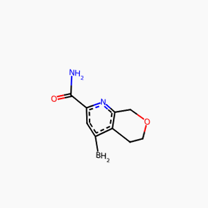 Bc1cc(C(N)=O)nc2c1CCOC2